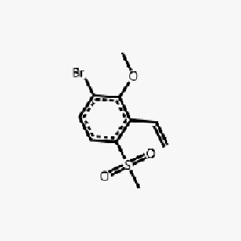 C=Cc1c(S(C)(=O)=O)ccc(Br)c1OC